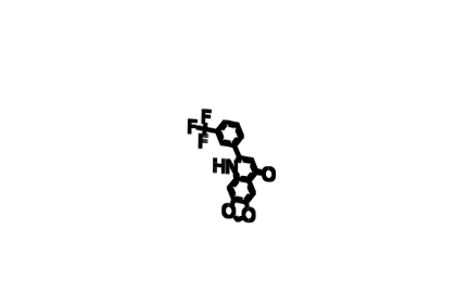 O=c1cc(-c2cccc(C(F)(F)F)c2)[nH]c2cc3c(cc12)OCO3